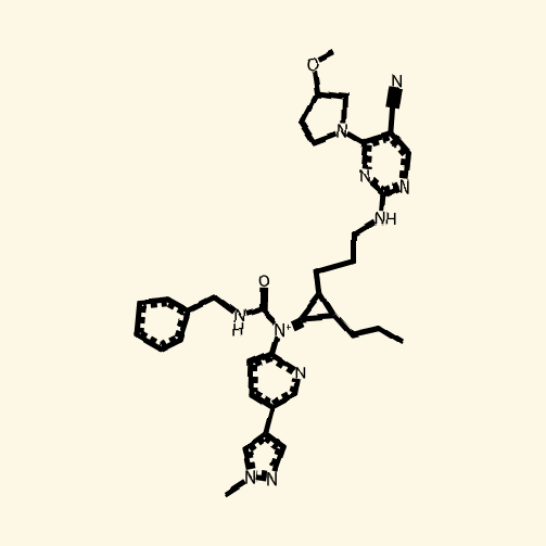 CCCC1/C(=[N+](/C(=O)NCc2ccccc2)c2ccc(-c3cnn(C)c3)cn2)C1CCCNc1ncc(C#N)c(N2CCC(OC)C2)n1